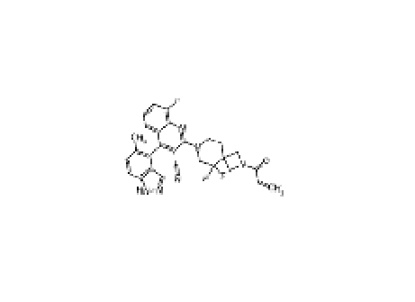 C=CC(=O)N1CC2(CCN(c3nc4c(F)cccc4c(-c4c(C)ccc5[nH]ncc45)c3C#N)CC2(F)F)C1